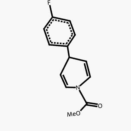 COC(=O)N1C=CC(c2ccc(F)cc2)C=C1